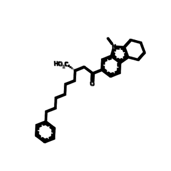 Cn1c2c(c3ccc(C(=O)C[C@H](CCCCCCc4ccccc4)C(=O)O)cc31)CCCC2